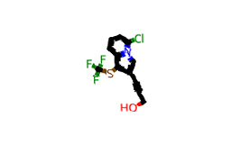 OCC#Cc1cn2c(Cl)cccc2c1SC(F)(F)F